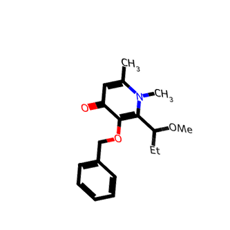 CCC(OC)c1c(OCc2ccccc2)c(=O)cc(C)n1C